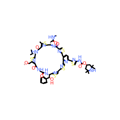 CNC(=O)C[C@@H]1NC(=O)c2csc(n2)-c2ccc(-c3nc(NC(=O)OC4CC(C)(C)NC(C)(C)C4)cs3)nc2-c2csc(n2)-c2csc(n2)[C@H]([C@@H](O)c2ccccc2)NC(=O)CNC(=O)c2nc(sc2COC)[C@H](C(C)C)NC(=O)c2nc1sc2C